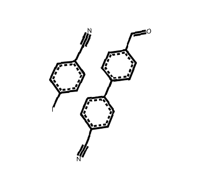 N#Cc1ccc(-c2ccc(C=O)cc2)cc1.N#Cc1ccc(I)cc1